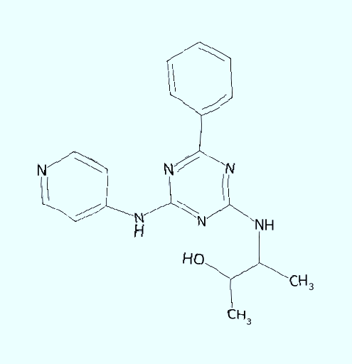 CC(O)C(C)Nc1nc(Nc2ccncc2)nc(-c2ccccc2)n1